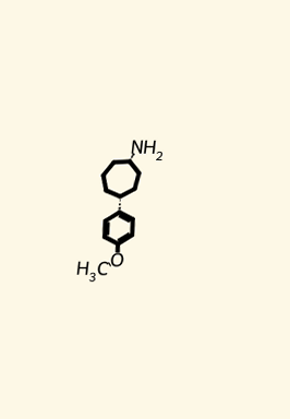 COc1ccc([C@@H]2CCC[C@H](N)CC2)cc1